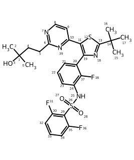 CC(C)(O)CCc1nccc(-c2sc(C(C)(C)C)nc2-c2cccc(NS(=O)(=O)c3c(F)cccc3F)c2F)n1